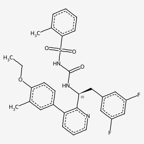 CCOc1ccc(-c2cccnc2[C@H](Cc2cc(F)cc(F)c2)NC(=O)NS(=O)(=O)c2ccccc2C)cc1C